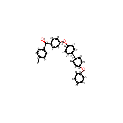 Cc1ccc(C(=O)c2ccc(Oc3ccc(-c4ccc(Oc5ccccc5)cc4)cc3)cc2)cc1